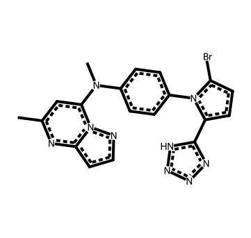 Cc1cc(N(C)c2ccc(-n3c(Br)ccc3-c3nnn[nH]3)cc2)n2nccc2n1